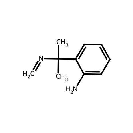 C=NC(C)(C)c1ccccc1N